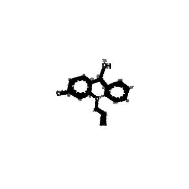 C=CCOc1cc(Cl)ccc1C(O)c1ccccc1